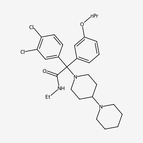 CCCOc1cccc(C(C(=O)NCC)(c2ccc(Cl)c(Cl)c2)N2CCC(N3CCCCC3)CC2)c1